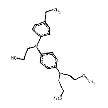 CCc1ccc(N(CCO)c2ccc(N(CCO)CCOC)cc2)cc1